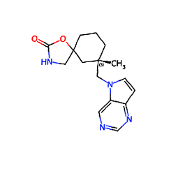 C[C@]1(Cn2ccc3ncncc32)CCCC2(CNC(=O)O2)C1